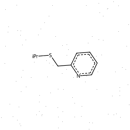 CC(C)SCc1ccccn1